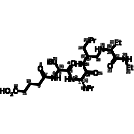 CCC[C@H](NC(=O)[C@@H](NC(=O)CCCC(=O)O)C(C)CC)C(=O)N[C@H](CN[C@@H](CC)C(=O)NCC)CC(C)C